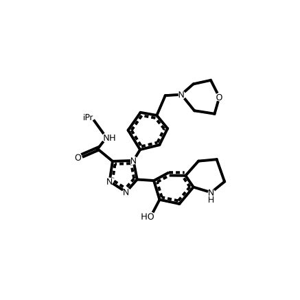 CC(C)NC(=O)c1nnc(-c2cc3c(cc2O)NCCC3)n1-c1ccc(CN2CCOCC2)cc1